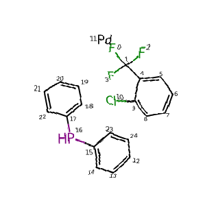 FC(F)(F)c1ccccc1Cl.[Pd].c1ccc(Pc2ccccc2)cc1